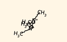 CCCCCCC[n+]1ccc2c(c1)C(C)(C)c1c[n+](CCCCCCC)ccc1-2